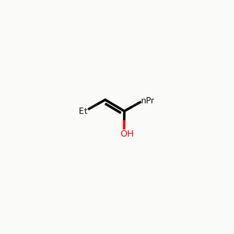 CCC=C(O)CCC